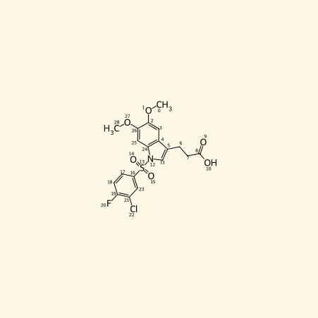 COc1cc2c(CCC(=O)O)cn(S(=O)(=O)c3ccc(F)c(Cl)c3)c2cc1OC